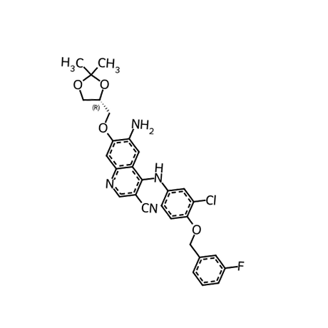 CC1(C)OC[C@@H](COc2cc3ncc(C#N)c(Nc4ccc(OCc5cccc(F)c5)c(Cl)c4)c3cc2N)O1